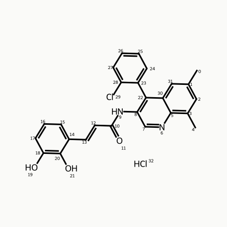 Cc1cc(C)c2ncc(NC(=O)C=Cc3cccc(O)c3O)c(-c3ccccc3Cl)c2c1.Cl